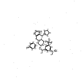 C[C@@H](O[C@H]1OCCN(Cc2nn[nH]c2CN2CCCC2)[C@H]1c1ccc(F)cc1)c1cc([S+](C)[O-])cc(C(F)(F)F)c1